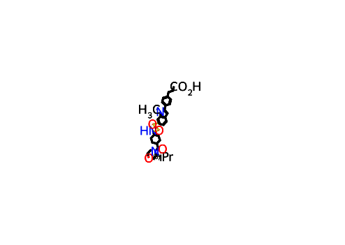 CC(C)[C@H]1COCCN1C(=O)C1CCC(NS(=O)(=O)c2ccc3cc(-c4ccc(CCC(=O)O)cc4)n(C)c3c2)CC1